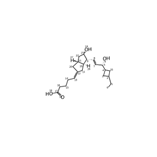 CCC1CC([C@@H](O)C=C[C@@H]2[C@H]3CC(=CCCCC(=O)O)C[C@@H]3C[C@H]2O)C1